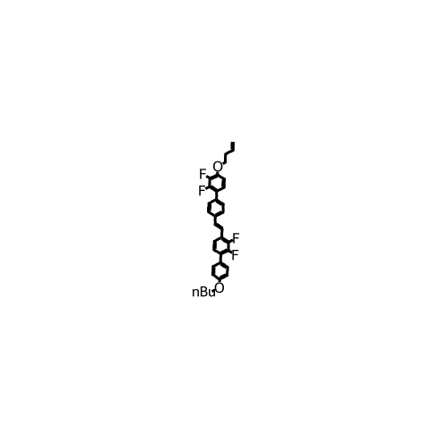 C=CCCOc1ccc(-c2ccc(/C=C/c3ccc(-c4ccc(OCCCC)cc4)c(F)c3F)cc2)c(F)c1F